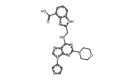 O=C(O)c1cccc2[nH]c(CNc3nc(N4CCOCC4)nc4c3ncn4-c3ccsc3)nc12